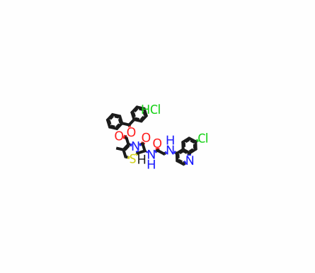 CC1=C(C(=O)OC(c2ccccc2)c2ccccc2)N2C(=O)[C@@H](NC(=O)CNc3ccnc4cc(Cl)ccc34)[C@H]2SC1.Cl